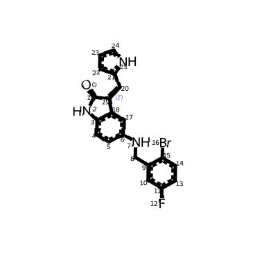 O=C1Nc2ccc(NCc3cc(F)ccc3Br)cc2/C1=C/c1ccc[nH]1